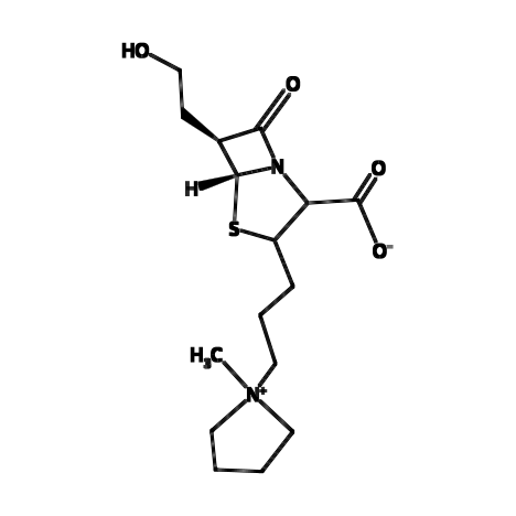 C[N+]1(CCCC2S[C@@H]3[C@@H](CCO)C(=O)N3C2C(=O)[O-])CCCC1